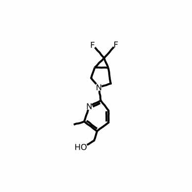 Cc1nc(N2CC3C(C2)C3(F)F)ccc1CO